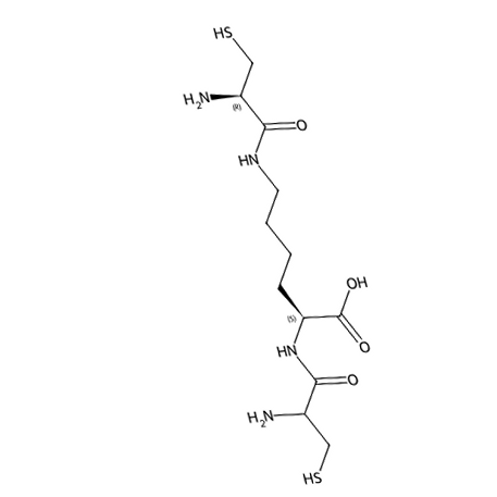 NC(CS)C(=O)N[C@@H](CCCCNC(=O)[C@@H](N)CS)C(=O)O